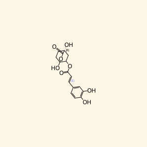 O=C(/C=C/c1ccc(O)c(O)c1)OC1C[C@]2(O)CCC1(O)OC2=O